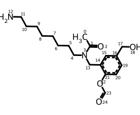 CC(=O)N(CCCCCCCCN)Cc1cc(CO)ccc1OC=O